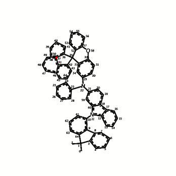 CC1(C)c2ccccc2-c2c(-n3c4ccccc4c4ccc(N(c5ccccc5)c5ccc6c(c5)C(c5ccccc5)(c5cccc7ccccc57)c5ccccc5O6)cc43)cccc21